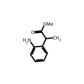 COC(=O)C(C)c1ccccc1N